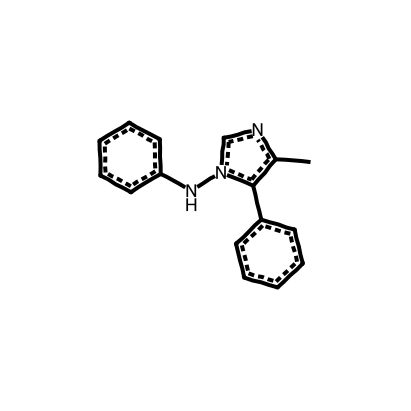 Cc1ncn(Nc2ccccc2)c1-c1ccccc1